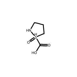 O=C(O)[SH]1(=O)CCCN1